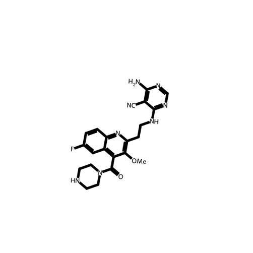 COc1c(CCNc2ncnc(N)c2C#N)nc2ccc(F)cc2c1C(=O)N1CCNCC1